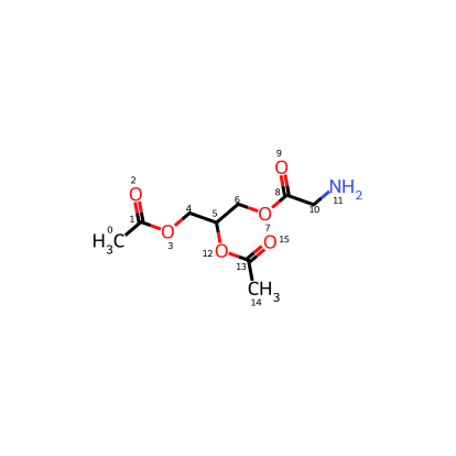 CC(=O)OCC(COC(=O)CN)OC(C)=O